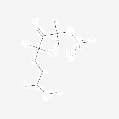 COC(C)CCC(F)(F)C(=O)C(C)(C)O[PH](=O)O